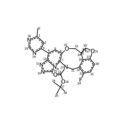 Cc1cc(-c2cc3c(n4cnnc24)N(C(=O)OC(C)(C)C)Cc2c(F)ccc4c2[C@H](CO4)CO3)ncn1